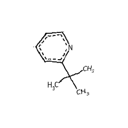 CC(C)(C)c1c[c]c[c]n1